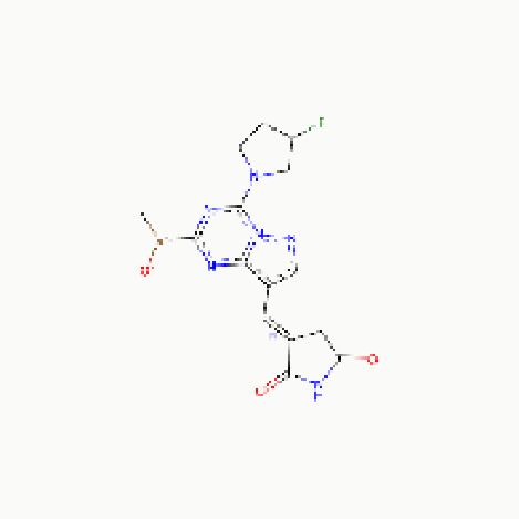 C[S+]([O-])c1nc(N2CCC(F)C2)n2ncc(/C=C3\CC(=O)NC3=O)c2n1